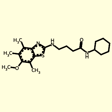 COc1c(C)c(C)c2nc(NCCCC(=O)NC3CCCCC3)sc2c1C